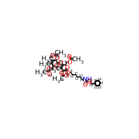 CC(=O)OCC1O[C@@H](OCCCCCCNC(=O)OCc2ccccc2)C(OC(C)=O)[C@@H](C)[C@@H]1O[C@@H]1OC(COC(C)=O)[C@H](C)[C@H](C)C1OC(C)=O